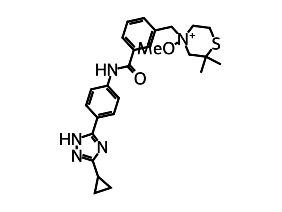 CO[N+]1(Cc2cccc(C(=O)Nc3ccc(-c4nc(C5CC5)n[nH]4)cc3)c2)CCSC(C)(C)C1